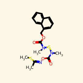 CSC(C)=NOC(=O)N(C)SN(C)C(=O)OCc1cccc2ccccc12